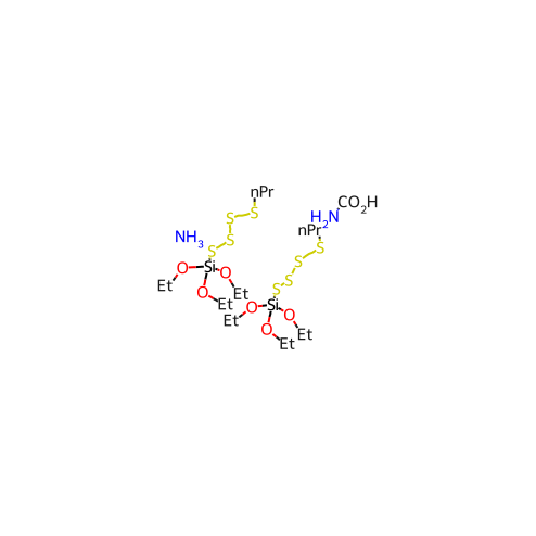 CCCSSSS[Si](OCC)(OCC)OCC.CCCSSSS[Si](OCC)(OCC)OCC.N.NC(=O)O